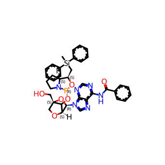 C[Si](C[C@H]1O[P@](OC2[C@@H]3OC[C@]2(CO)O[C@H]3n2cnc3c(NC(=O)c4ccccc4)ncnc32)N2CCC[C@@H]12)(c1ccccc1)c1ccccc1